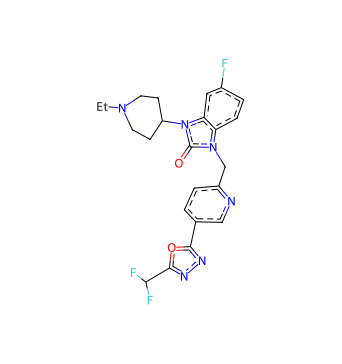 CCN1CCC(n2c(=O)n(Cc3ccc(-c4nnc(C(F)F)o4)cn3)c3ccc(F)cc32)CC1